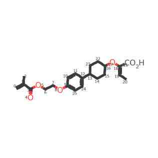 C=C(C)C(=O)OCCOc1ccc(C2CCC(OC(=CC)C(=O)O)CC2)cc1